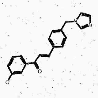 O=C(/C=C/c1ccc(Cn2ccnc2)cc1)c1cccc(Cl)c1